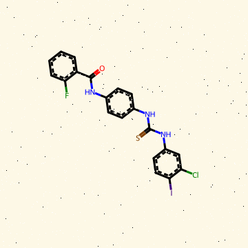 O=C(Nc1ccc(NC(=S)Nc2ccc(I)c(Cl)c2)cc1)c1ccccc1F